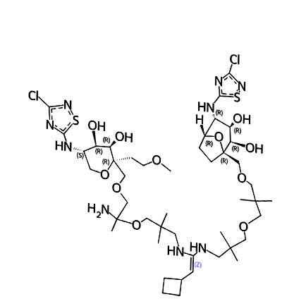 COCC[C@]1(COCC(C)(N)OCC(C)(C)CN/C(=C\C2CCC2)NCC(C)(C)COCC(C)(C)COC[C@@]23CC[C@@H](O2)[C@H](Nc2nc(Cl)ns2)[C@@H](O)[C@H]3O)OC[C@H](Nc2nc(Cl)ns2)[C@@H](O)[C@H]1O